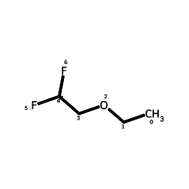 CCOC[C](F)F